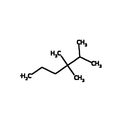 [CH2]CCC(C)(C)C(C)C